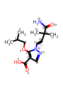 CC(C)COc1c(C(=O)O)cnn1/C=C/C(C)(C)C(N)=O